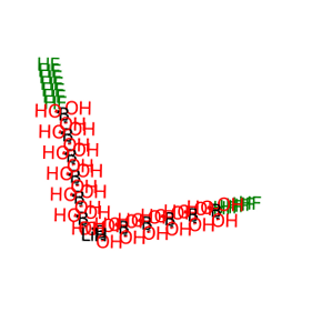 F.F.F.F.F.F.F.F.F.F.F.F.OB(O)O.OB(O)O.OB(O)O.OB(O)O.OB(O)O.OB(O)O.OB(O)O.OB(O)O.OB(O)O.OB(O)O.OB(O)O.OB(O)O.[LiH]